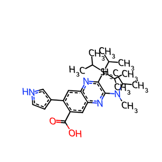 CC(C)N(C)c1nc2cc(C(=O)O)c(-c3cc[nH]c3)cc2nc1[Si](C(C)C)(C(C)C)C(C)C